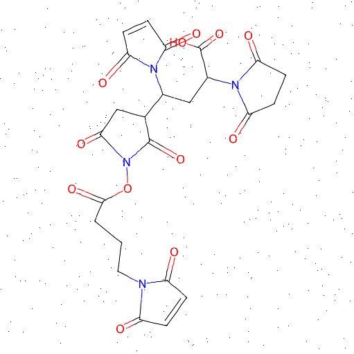 O=C(CCCN1C(=O)C=CC1=O)ON1C(=O)CC(C(CC(C(=O)O)N2C(=O)CCC2=O)N2C(=O)C=CC2=O)C1=O